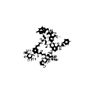 COCCN(CCOC12CC3(C)CC(C)(CC(Cn4ncc(-c5ccc(N6CCc7c(OC)ccc(C(=O)Nc8nc9ccccc9s8)c7C6)nc5C(=O)O)c4C)(C3)C1)C2)C(=O)OCC=Cc1ccc(O[C@@H]2O[C@H](C(=O)O)[C@@H](O)[C@H](O)[C@H]2O)c(NC(=O)CCNC(=O)C(CS(=O)(=O)O)NC(=O)CN2C(=O)C=CC2=O)c1